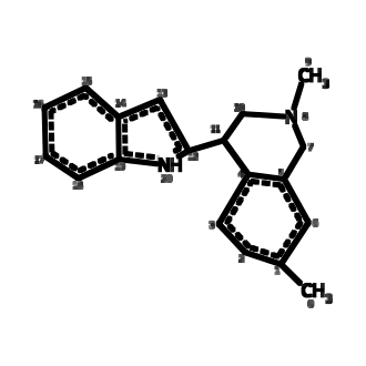 Cc1ccc2c(c1)CN(C)CC2c1cc2ccccc2[nH]1